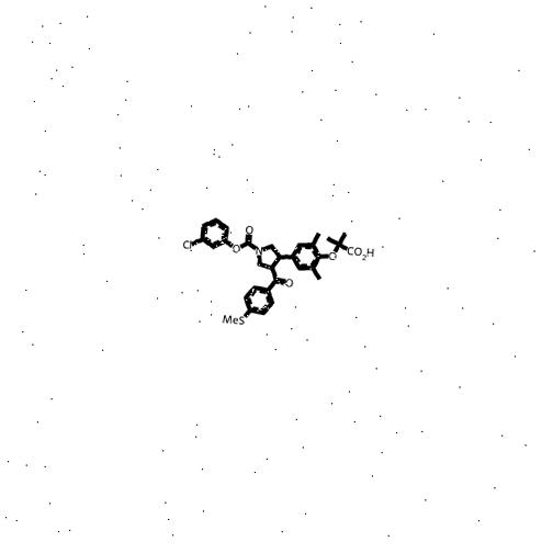 CSc1ccc(C(=O)C2CN(C(=O)Oc3cccc(Cl)c3)CC2c2cc(C)c(OC(C)(C)C(=O)O)c(C)c2)cc1